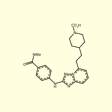 CNC(=O)c1ccc(Nc2nc3cccc(CCC4CCN(C(=O)O)CC4)n3n2)cc1